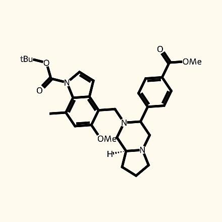 COC(=O)c1ccc(C2CN3CCC[C@H]3CN2Cc2c(OC)cc(C)c3c2ccn3C(=O)OC(C)(C)C)cc1